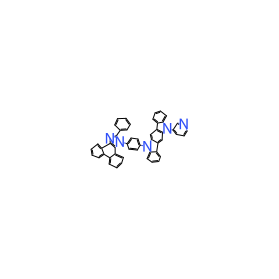 c1ccc(-c2nc3c4ccccc4c4ccccc4c3n2-c2ccc(-n3c4ccccc4c4cc5c(cc43)c3ccccc3n5-c3cccnc3)cc2)cc1